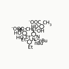 CCCCC(=Nc1cc(CC)cc(CC)c1)C(CCCC)=Nc1cc(CC)cc(CC)c1.Cc1ccc(O)c(O)c1C(=O)[O-].Cc1ccc(O)c(O)c1C(=O)[O-].[Ni+2]